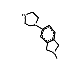 CN1Cc2ccc(N3CCNCC3)cc2C1